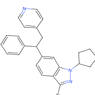 CCc1nn(C2CCCC2)c2cc(C(Cc3ccncc3)c3ccccc3)ccc12